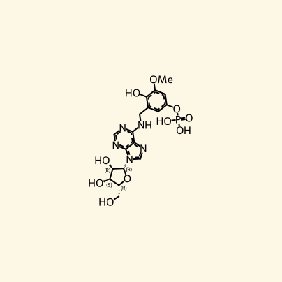 COc1cc(OP(=O)(O)O)cc(CNc2ncnc3c2ncn3[C@@H]2O[C@H](CO)[C@@H](O)[C@H]2O)c1O